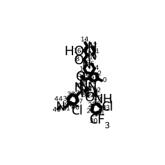 CC1=CC2(CCN(C(=O)c3ncnc(C)c3O)CC2)c2c1n(CC(=O)Nc1ccc(C(F)(F)F)cc1Cl)c1nc(-c3ccc(CN(C)C)c(Cl)c3)nn1c2=O